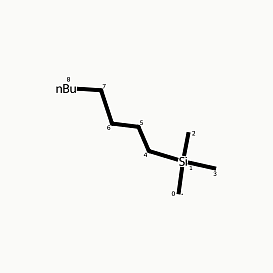 [CH2][Si](C)(C)CCCCCCCC